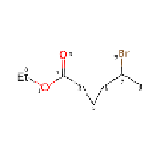 CCOC(=O)C1CC1C(C)Br